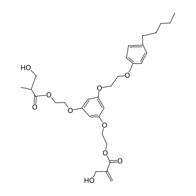 C=C(CO)C(=O)OCCOc1cc(OCCOC(=O)C(C)CO)cc(OCCOc2ccc(CCCCC)cc2)c1